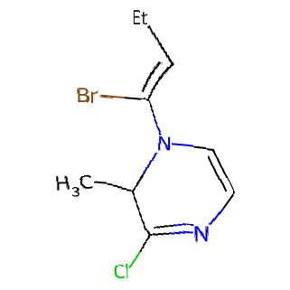 CC/C=C(\Br)N1C=CN=C(Cl)C1C